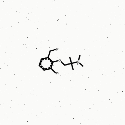 CC(C)c1cccc(CBr)c1OCC(C)(C)[SiH](C)C